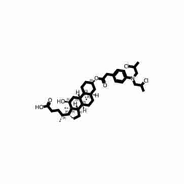 CC(Cl)CN(CC(C)Cl)c1ccc(CC(=O)O[C@@H]2CC[C@@]3(C)[C@H](CC[C@@H]4[C@@H]3C[C@H](O)[C@]3(C)[C@@H]([C@H](C)CCC(=O)O)CC[C@@H]43)C2)cc1